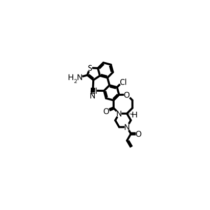 C=CC(=O)N1CCN2C(=O)c3cc(Cl)c(-c4cccc5sc(N)c(C#N)c45)c(Cl)c3OCC[C@H]2C1